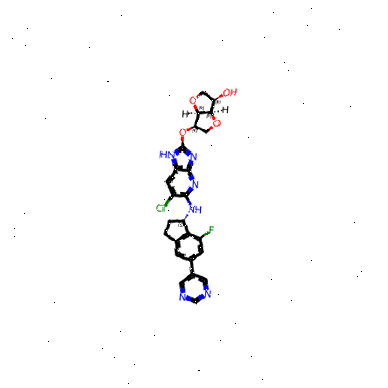 O[C@@H]1CO[C@H]2[C@@H]1OC[C@H]2Oc1nc2nc(N[C@H]3CCc4cc(-c5cncnc5)cc(F)c43)c(Cl)cc2[nH]1